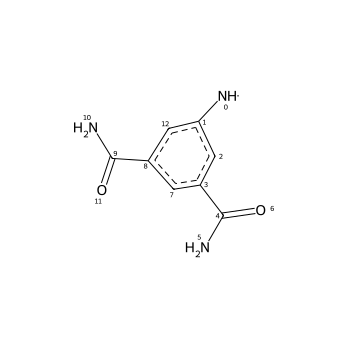 [NH]c1cc(C(N)=O)cc(C(N)=O)c1